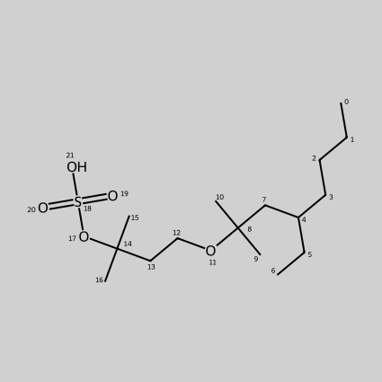 CCCCC(CC)CC(C)(C)OCCC(C)(C)OS(=O)(=O)O